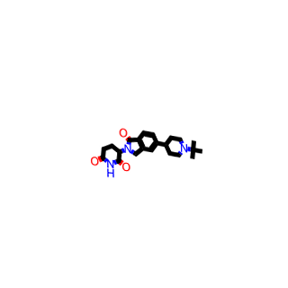 CC(C)(C)N1CCC(c2ccc3c(c2)CN(C2CCC(=O)NC2=O)C3=O)CC1